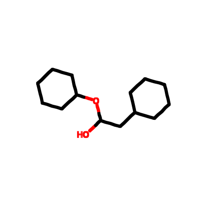 OC(CC1CCCCC1)OC1CCCCC1